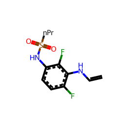 C=CNc1c(F)ccc(NS(=O)(=O)CCC)c1F